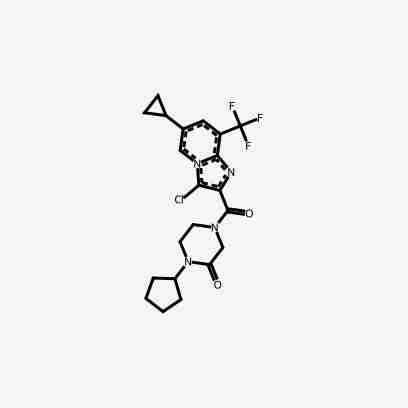 O=C(c1nc2c(C(F)(F)F)cc(C3CC3)cn2c1Cl)N1CCN(C2CCCC2)C(=O)C1